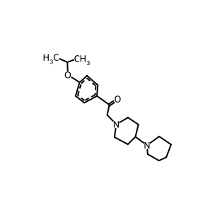 CC(C)Oc1ccc(C(=O)CN2CCC(N3CCCCC3)CC2)cc1